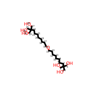 OCC(CO)(CO)CCCCCCCCOCCCCCCCCC(CO)(CO)CO